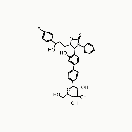 OC[C@H]1O[C@@H](c2ccc(-c3ccc([C@@H]4[C@@H](CCC(O)c5ccc(F)cc5)OC(=S)N4c4ccccc4)c(O)c3)cc2)[C@H](O)[C@@H](O)[C@@H]1O